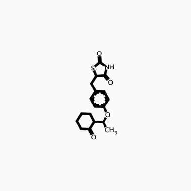 CC(Oc1ccc(CC2SC(=O)NC2=O)cc1)C1CCCCC1=O